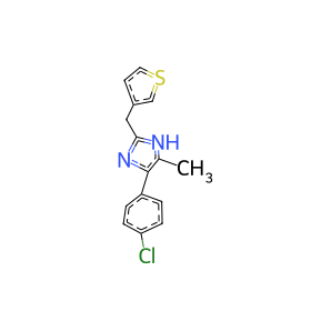 Cc1[nH]c(Cc2ccsc2)nc1-c1ccc(Cl)cc1